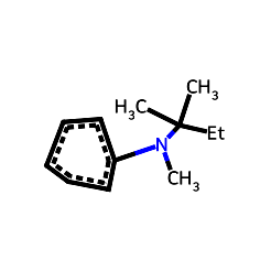 CCC(C)(C)N(C)c1ccccc1